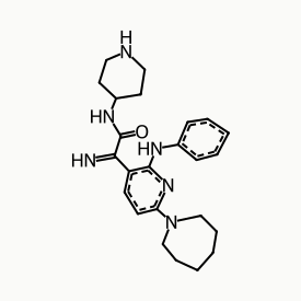 N=C(C(=O)NC1CCNCC1)c1ccc(N2CCCCCC2)nc1Nc1ccccc1